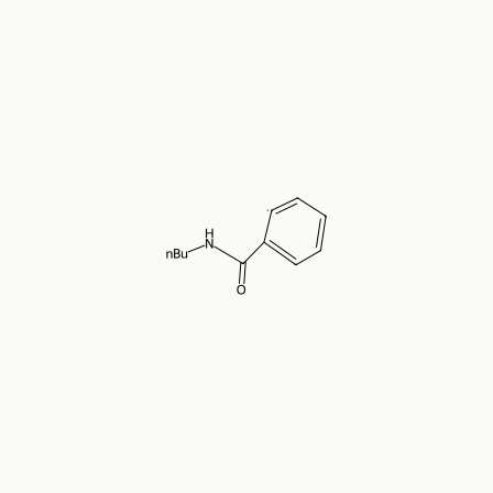 CCCCNC(=O)c1[c]cccc1